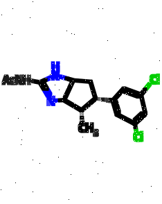 CC(=O)NC1=NC2C(C[C@H](c3cc(Cl)cc(Cl)c3)[C@@H]2C)N1